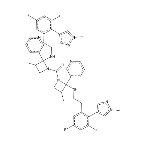 CC1CN(C(=O)N2CC(C)C2(NCCc2cc(F)cc(F)c2-c2cnn(C)c2)c2cccnc2)C1(NCCc1cc(F)cc(F)c1-c1cnn(C)c1)c1cccnc1